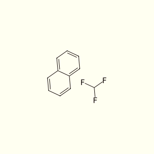 FC(F)F.c1ccc2ccccc2c1